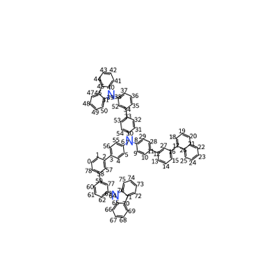 c1cc(-c2ccc(N(c3ccc(-c4cccc(-c5cccc6ccccc56)c4)cc3)c3ccc(-c4cccc(-n5c6ccccc6c6ccccc65)c4)cc3)cc2)cc(-c2cccc(-n3c4ccccc4c4ccccc43)c2)c1